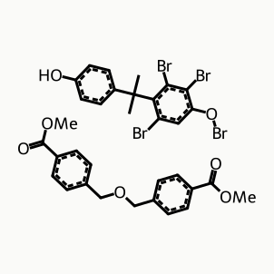 CC(C)(c1ccc(O)cc1)c1c(Br)cc(OBr)c(Br)c1Br.COC(=O)c1ccc(COCc2ccc(C(=O)OC)cc2)cc1